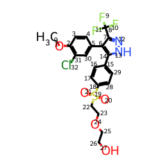 COc1ccc(-c2c(C(F)(F)F)n[nH]c2-c2ccc(S(=O)(=O)CCOCCO)cc2)cc1Cl